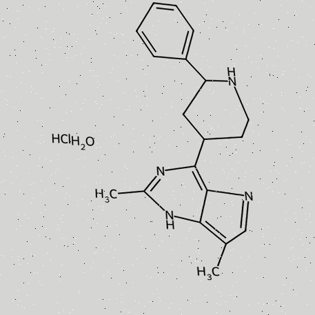 Cc1nc(C2CCNC(c3ccccc3)C2)c2ncc(C)c-2[nH]1.Cl.O